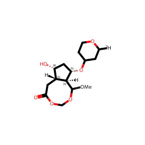 [2H]C1CC(O[C@H]2C[C@@H](O)[C@H]3CC(=O)OCOC(OC)[C@@H]32)CCO1